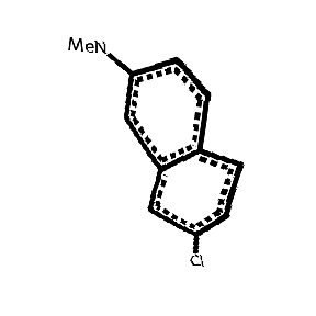 CNc1ccc2ccc(Cl)cc2c1